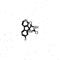 O=C1NC(=O)C2(N1)c1cnccc1-c1ccc(F)cc12